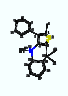 Cc1sc2c(c1-c1ccccc1)N(C(C)C)c1ccccc1C2(C)C